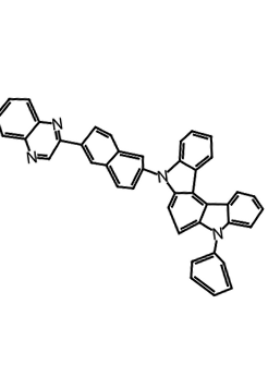 c1ccc(-n2c3ccccc3c3c4c5ccccc5n(-c5ccc6cc(-c7cnc8ccccc8n7)ccc6c5)c4ccc32)cc1